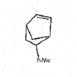 CNC1CC2C=CC1C2